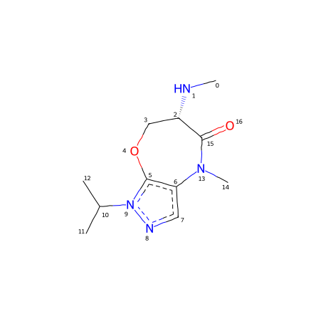 CN[C@H]1COc2c(cnn2C(C)C)N(C)C1=O